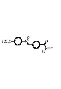 CCOC(=O)c1ccc([N+]([O-])=Cc2ccc(C(=O)N(CC)CC)cc2)cc1